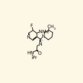 CNC1C(/C(=N\CC(=O)NC(C)C)N2CCCC(C)C2)=CN=CC1F